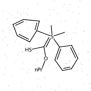 CCCOC(S)=S(C)(C)(c1ccccc1)c1ccccc1